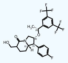 C[C@@H](O[C@H]1CN2C(=O)C(CO)CC[C@H]2[C@@H]1c1ccc(F)cc1)c1cc(C(F)(F)F)cc(C(F)(F)F)c1